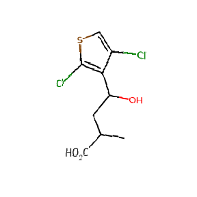 CC(CC(O)c1c(Cl)csc1Cl)C(=O)O